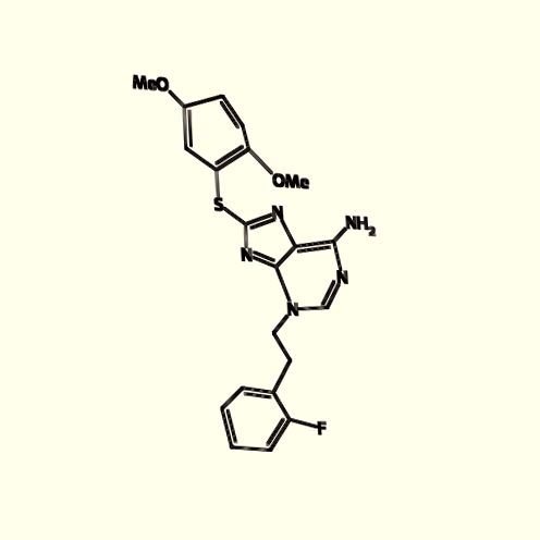 COc1ccc(OC)c(Sc2nc3c(N)ncn(CCc4ccccc4F)c-3n2)c1